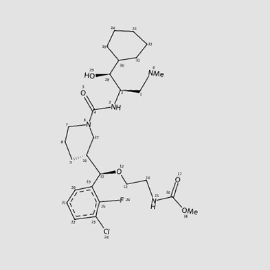 CNC[C@@H](NC(=O)N1CCC[C@@H]([C@@H](OCCNC(=O)OC)c2cccc(Cl)c2F)C1)[C@@H](O)C1CCCCC1